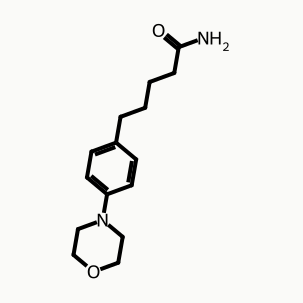 NC(=O)CCCCc1ccc(N2CCOCC2)cc1